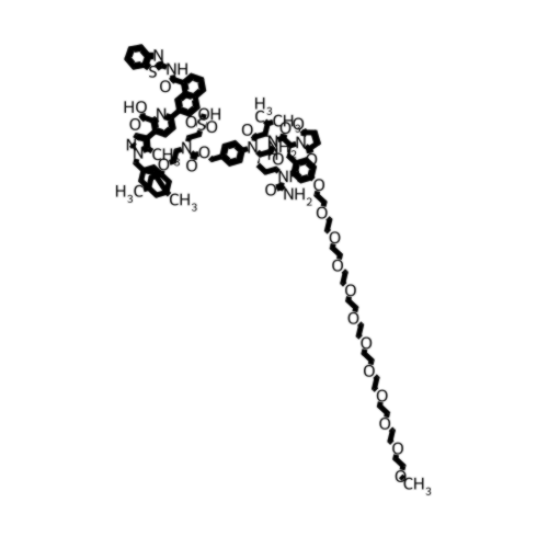 COCCOCCOCCOCCOCCOCCOCCOCCOCCOCCOCCOc1ccc(C[C@@H](C(=O)N[C@H](C(=O)N(c2ccc(COC(=O)N(CCOC34CC5(C)CC(C)(CC(Cn6ncc(-c7ccc(-c8ccc9cccc(C(=O)Nc%10nc%11ccccc%11s%10)c9c8)nc7C(=O)O)c6C)(C5)C3)C4)CCS(=O)(=O)O)cc2)[C@@H](CCCNC(N)=O)C(N)=O)C(C)C)N2C(=O)C=CC2=O)cc1